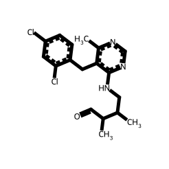 Cc1ncnc(NCC(C)C(C)C=O)c1Cc1ccc(Cl)cc1Cl